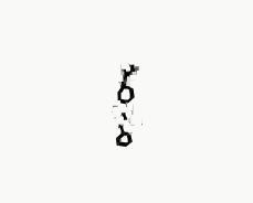 O=C(NC(=O)c1ccccc1Cl)Nc1ccc(OC(F)(F)C(F)Cl)cc1F